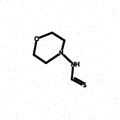 S=CNN1CCOCC1